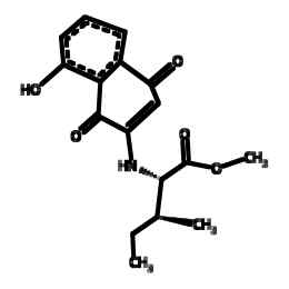 CC[C@H](C)[C@H](NC1=CC(=O)c2cccc(O)c2C1=O)C(=O)OC